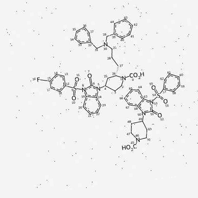 O=C(O)N1CCC(n2c(=O)n(S(=O)(=O)c3ccc(F)cc3)c3ccccc32)C[C@@H]1CCCN(Cc1ccccc1)Cc1ccccc1.O=C(O)N1CCC(n2c(=O)n(S(=O)(=O)c3ccccc3)c3ccccc32)CC1